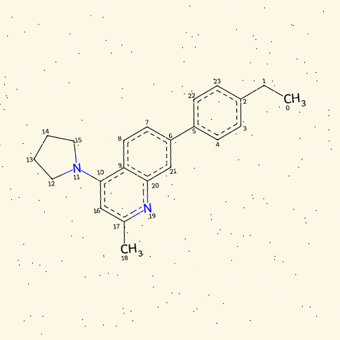 CCc1ccc(-c2ccc3c(N4CCCC4)cc(C)nc3c2)cc1